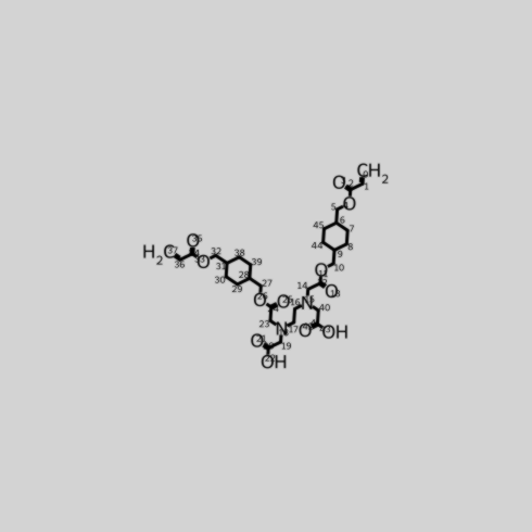 C=CC(=O)OCC1CCC(COC(=O)CN(CCN(CC(=O)O)CC(=O)OCC2CCC(COC(=O)C=C)CC2)CC(=O)O)CC1